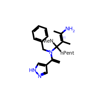 C=C(c1cn[nH]c1)N(Cc1ccccc1)C(CCCCC)(NC)/C(C)=C(\C)N